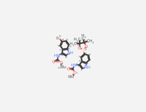 CC(C)(C)OC(=O)Nc1c[nH]c2ccc(B3OC(C)(C)C(C)(C)O3)cc12.CC(C)(C)OC(=O)Nc1c[nH]c2ccc(Br)cc12